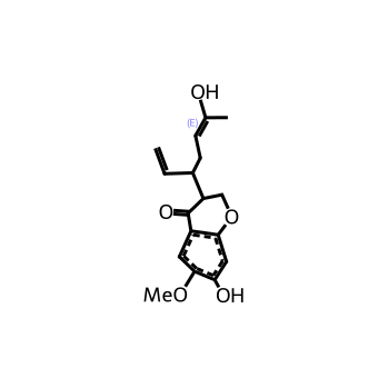 C=CC(C/C=C(\C)O)C1COc2cc(O)c(OC)cc2C1=O